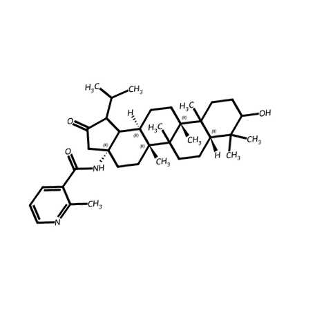 Cc1ncccc1C(=O)N[C@@]12CC[C@]3(C)[C@H](CC[C@]4(C)C5(C)CCC(O)C(C)(C)[C@@H]5CCC43C)C1C(C(C)C)C(=O)C2